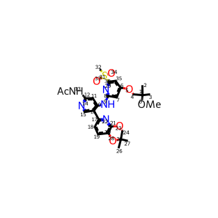 COC(C)(C)COc1cc(Nc2cc(NC(C)=O)ncc2-c2ccc3c(n2)OCC(C)(C)O3)nc(S(C)(=O)=O)c1